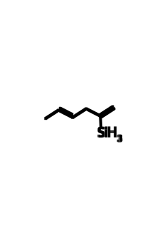 C=C([SiH3])C/C=C/C